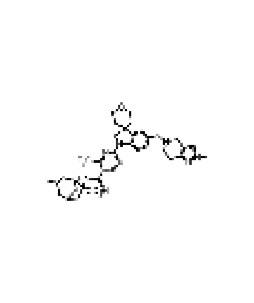 CC1CC2CC(C1)C(NC(=O)c1cnc(N3CC4(CCOCC4)c4cc(CN5CCc6nn(C)cc6C5)ccc43)nc1C(F)(F)F)(C(=O)O)C2